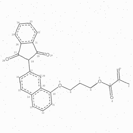 C=C(C)C(=O)OCCCOc1cccc2ccc(C3C(=O)c4ccccc4C3=O)nc12